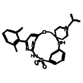 Cc1cccc(C)c1-c1cc2nc(n1)NS(=O)(=O)c1cccc(c1)NC1(CCN(C(C)C)CC1)CO2